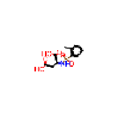 Cc1ccccc1S(=O)(=O)NC(CC(=O)O)C(=O)O